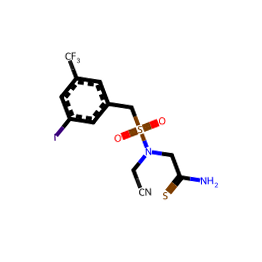 N#CCN(CC(N)=S)S(=O)(=O)Cc1cc(I)cc(C(F)(F)F)c1